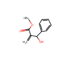 C=C(C(=O)OCCCC)C(O)c1ccccc1